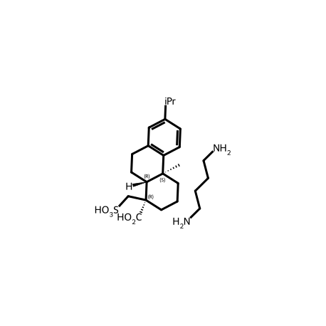 CC(C)c1ccc2c(c1)CC[C@H]1[C@@](CS(=O)(=O)O)(C(=O)O)CCC[C@]21C.NCCCCN